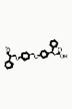 CO/N=C(\COc1ccc(COc2ccc(C(CC(=O)O)c3ccccc3)cc2)cc1)c1ccccc1